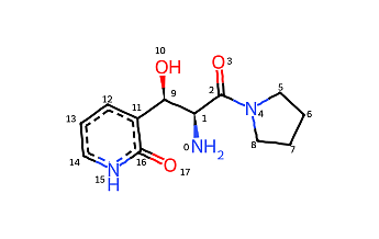 N[C@H](C(=O)N1CCCC1)[C@H](O)c1ccc[nH]c1=O